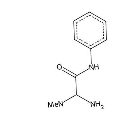 CNC(N)C(=O)Nc1ccccc1